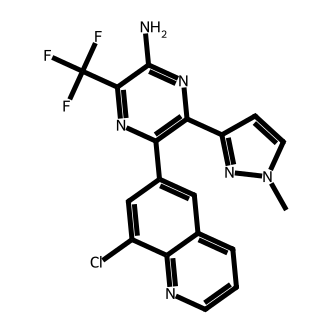 Cn1ccc(-c2nc(N)c(C(F)(F)F)nc2-c2cc(Cl)c3ncccc3c2)n1